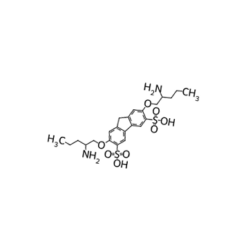 CCCC(N)COc1cc2c(cc1S(=O)(=O)O)-c1cc(S(=O)(=O)O)c(OCC(N)CCC)cc1C2